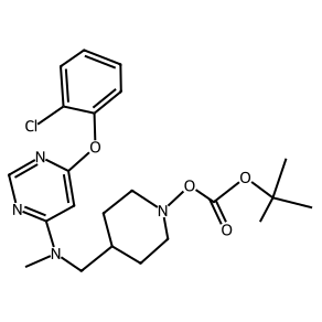 CN(CC1CCN(OC(=O)OC(C)(C)C)CC1)c1cc(Oc2ccccc2Cl)ncn1